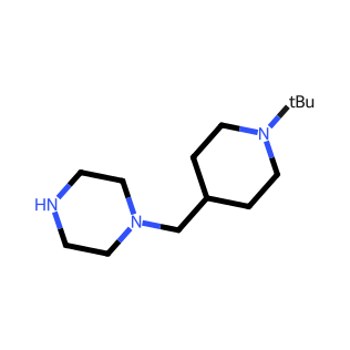 CC(C)(C)N1CCC(CN2CCNCC2)CC1